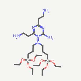 CCO[Si](CCCN(CCC[Si](OCC)(OCC)OCC)N1C(CCN)=NC(CCN)=NC1N)(OCC)OCC